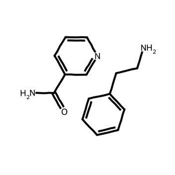 NC(=O)c1cccnc1.NCCc1ccccc1